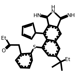 CCC(=O)Cc1ccccc1Sc1cc(C(C)(C)CC)cc2cc3c(c(C4C=CC=C4)c12)C(=N)NC3=N